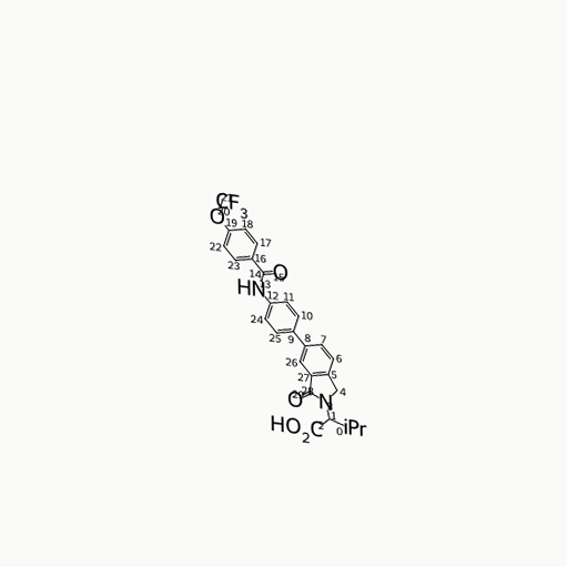 CC(C)C(C(=O)O)N1Cc2ccc(-c3ccc(NC(=O)c4ccc(OC(F)(F)F)cc4)cc3)cc2C1=O